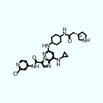 O=C(C[C@H]1CCNC1)NC1CCC(Nc2cc(NC3CC3)c3ncc(C(=O)Nc4ccnc(Cl)c4)n3n2)CC1